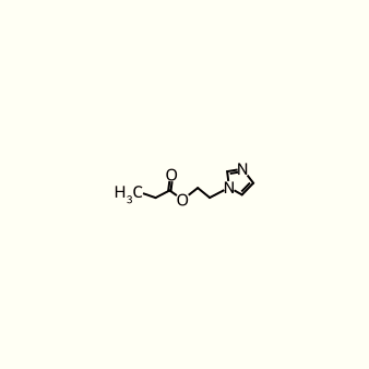 CCC(=O)OCCn1ccnc1